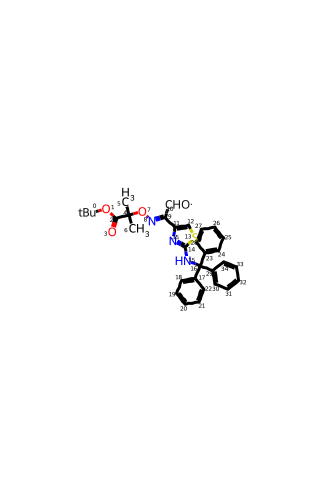 CC(C)(C)OC(=O)C(C)(C)ON=C([C]=O)c1csc(NC(c2ccccc2)(c2ccccc2)c2ccccc2)n1